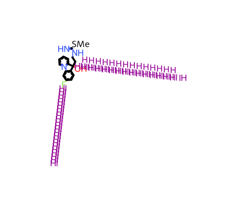 CSC(=N)NCCC(O)(c1ccc(F)cc1)c1ccccn1.I.I.I.I.I.I.I.I.I.I.I.I.I.I.I.I.I.I.I.I.I.I.I.I.I.I.I.I.I.I.I.I.I.I.I.I.I.I.I.I.I.I.I.I.I.I.I.I.I.I.I.I.I